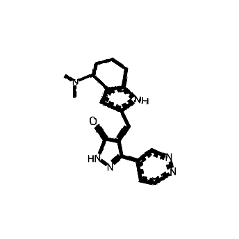 CN(C)C1CCCc2[nH]c(C=C3C(=O)NN=C3c3ccnnc3)cc21